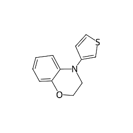 c1ccc2c(c1)OCCN2c1ccsc1